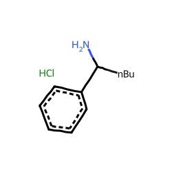 CCCCC(N)c1ccccc1.Cl